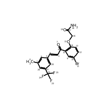 Cc1cc(/C=C/C(=O)c2cc(Br)ccc2OCC(N)=O)cc(C(F)(F)F)c1